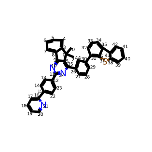 CC1(C)c2ccccc2-c2nc(-c3ccc(-c4ccccn4)cc3)nc(-c3cccc(-c4cccc5c4sc4ccccc45)c3)c21